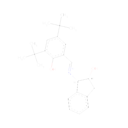 CC(C)(C)c1cc(/C=N/[C@H]2c3ccccc3C[C@H]2O)c(O)c(C(C)(C)C)c1